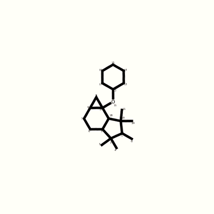 CC1C(C)(C)C2CCC3CC3(OC3CCCCC3)C2C1(C)C